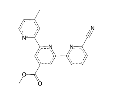 COC(=O)c1cc(-c2cc(C)ccn2)nc(-c2cccc(C#N)n2)c1